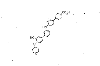 N#Cc1cc(-c2ccnc(Nc3ccc(C4=CCN(C(=O)O)CC4)cn3)c2)ccc1OC1CCOCC1